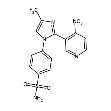 NS(=O)(=O)c1ccc(-n2cc(C(F)(F)F)nc2-c2cnccc2[N+](=O)[O-])cc1